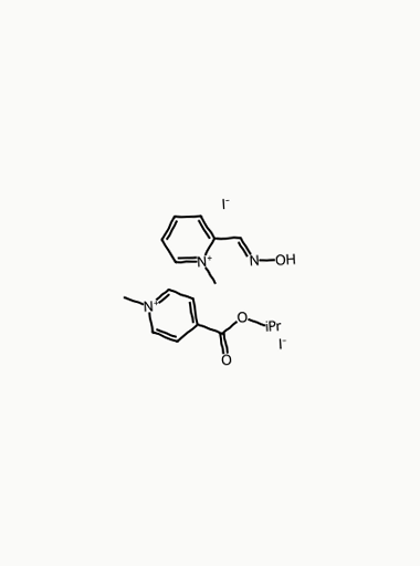 CC(C)OC(=O)c1cc[n+](C)cc1.C[n+]1ccccc1C=NO.[I-].[I-]